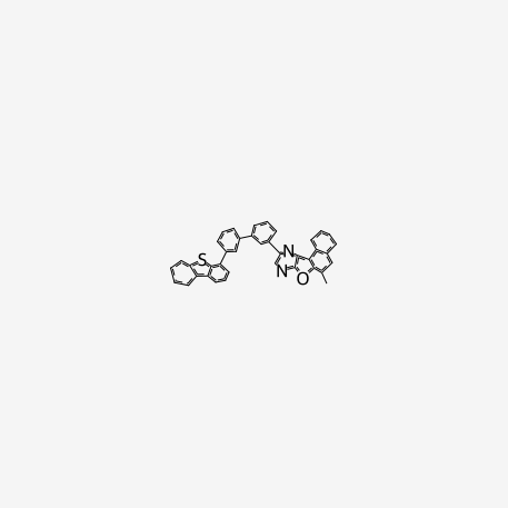 Cc1cc2ccccc2c2c1oc1ncc(-c3cccc(-c4cccc(-c5cccc6c5sc5ccccc56)c4)c3)nc12